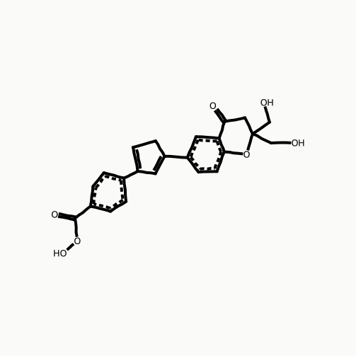 O=C(OO)c1ccc(C2=CCC(c3ccc4c(c3)C(=O)CC(CO)(CO)O4)=C2)cc1